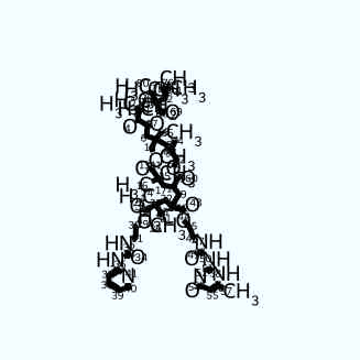 C=C(C)C(=O)CCC(CC)(COC(=O)C(C)(C)CC(CC(C)(CC(C)(CC)C(=O)OCCNC(=O)Nc1ccccn1)C(=O)OCCNC(=O)Nc1nc(=O)cc(C)[nH]1)C(=O)OCCCC)COC(=O)C(C)(CC(C)(C)C)C(C)(C)C